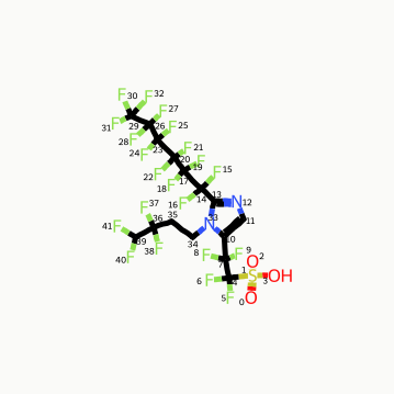 O=S(=O)(O)C(F)(F)C(F)(F)c1cnc(C(F)(F)C(F)(F)C(F)(F)C(F)(F)C(F)(F)C(F)(F)F)n1CCC(F)(F)C(F)F